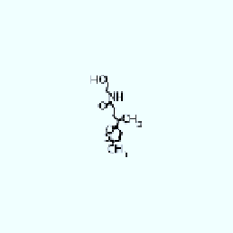 C=C(CCC(=O)NCCO)C(=O)/C=C\C(C)=S